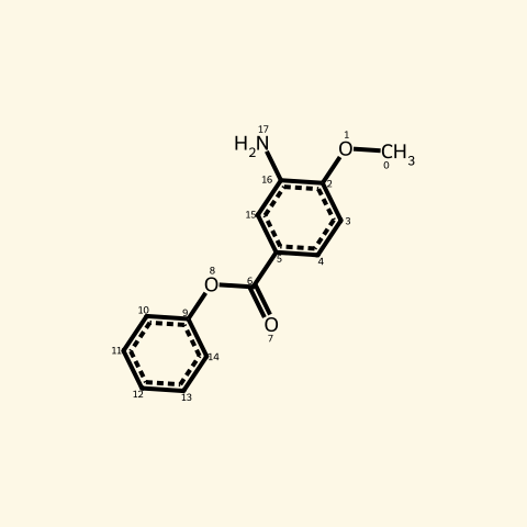 COc1ccc(C(=O)Oc2ccccc2)cc1N